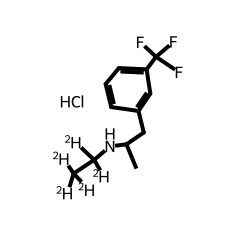 Cl.[2H]C([2H])([2H])C([2H])([2H])NC(C)Cc1cccc(C(F)(F)F)c1